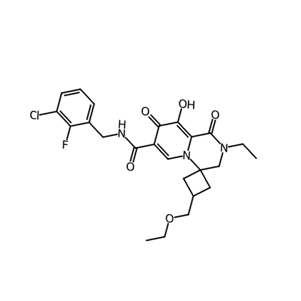 CCOCC1CC2(C1)CN(CC)C(=O)c1c(O)c(=O)c(C(=O)NCc3cccc(Cl)c3F)cn12